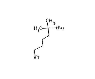 CC(C)CCCCC(C)(C)C(C)(C)C